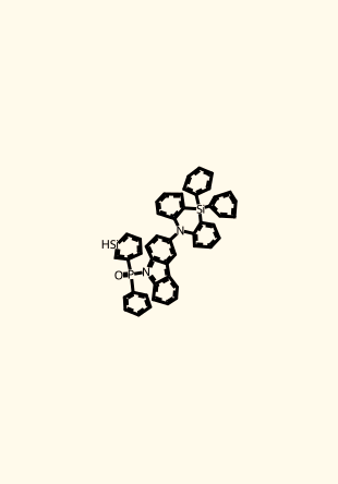 O=P(c1ccccc1)(c1ccc[siH]c1)n1c2ccccc2c2cc(N3c4ccccc4[Si](c4ccccc4)(c4ccccc4)c4ccccc43)ccc21